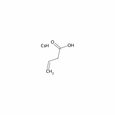 C=CCC(=O)O.[CsH]